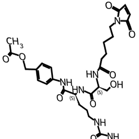 CC(=O)OCc1ccc(NC(=O)[C@H](CCCNC(N)=O)NC(=O)[C@H](CO)NC(=O)CCCCCN2C(=O)C=CC2=O)cc1